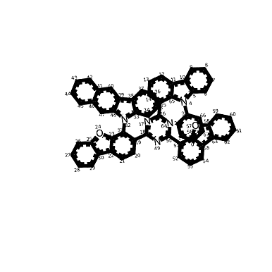 c1ccc(-n2c3ccccc3c3cccc(-c4nc(-c5ccc6c(oc7ccccc76)c5-n5c6ccccc6c6cc7ccccc7cc65)nc(-c5cccc6c5oc5ccccc56)n4)c32)cc1